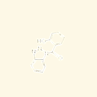 O=C(c1ccccc1O)n1nnc2ccccc21